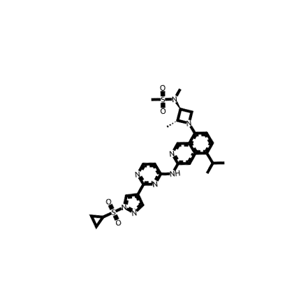 CC(C)c1ccc(N2C[C@H](N(C)S(C)(=O)=O)[C@H]2C)c2cnc(Nc3ccnc(-c4cnn(S(=O)(=O)C5CC5)c4)n3)cc12